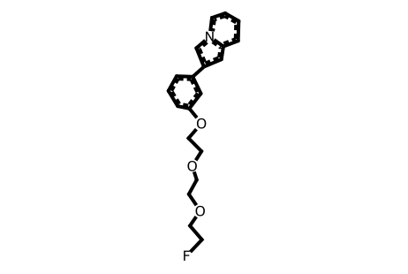 FCCOCCOCCOc1cccc(-c2cc3ccccn3c2)c1